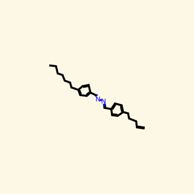 C=CCCCc1ccc(C=NN=Cc2ccc(CCCCCCC)cc2)cc1